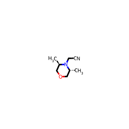 C[C@@H]1COC[C@@H](C)N1CC#N